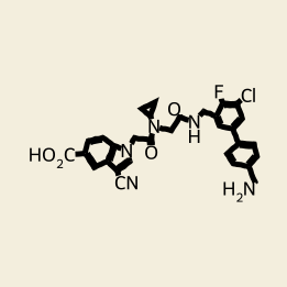 N#Cc1cn(CC(=O)N(CC(=O)NCc2cc(-c3ccc(CN)cc3)cc(Cl)c2F)C2CC2)c2ccc(C(=O)O)cc12